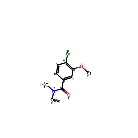 CCOc1cc(C(=O)N(C)OC)ccc1Br